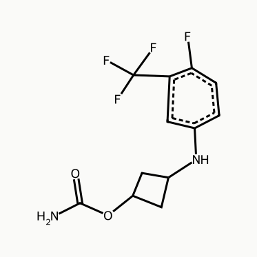 NC(=O)OC1CC(Nc2ccc(F)c(C(F)(F)F)c2)C1